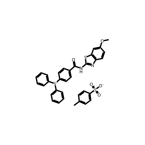 COc1ccc2nc(NC(=O)c3ccc([S+](c4ccccc4)c4ccccc4)cc3)sc2c1.Cc1ccc(S(=O)(=O)[O-])cc1